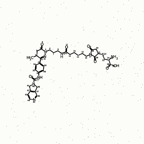 CC1CC(=O)N(CCCNC(=O)CCCCCN2C(=O)CC(SCC(N)C(=O)O)C2=O)N=C1c1ccc(NC(=O)N2Cc3ccncc3C2)cc1